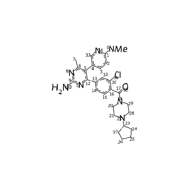 CNc1ccc(-c2c(C)nc(N)nc2-c2ccc(C(=O)N3CCN(C4CCCC4)CC3)c(Cl)c2)cn1